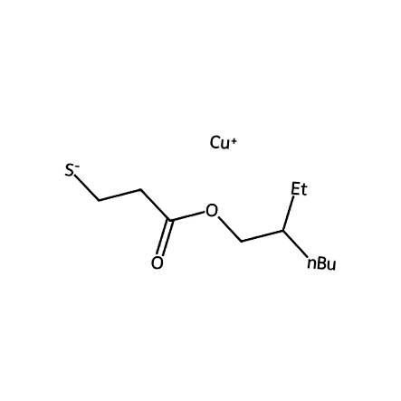 CCCCC(CC)COC(=O)CC[S-].[Cu+]